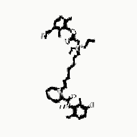 CCC[N+](CC)(CCCCCCCN1CCCCC1C(=O)Nc1c(C)ccc(Cl)c1C)CC(=O)Oc1c(C)ccc(C#N)c1C